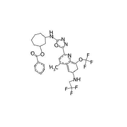 Cc1cc(-c2nnc(NC3CCCCC(OC(=O)c4ccccc4)C3)o2)nc2c1=CC(NCC(F)(F)F)CC=2OC(F)(F)F